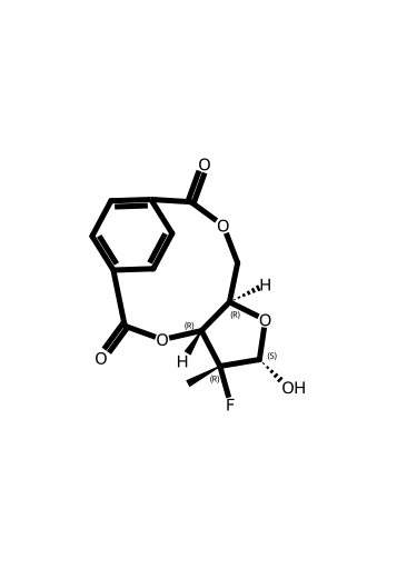 C[C@@]1(F)[C@@H]2OC(=O)c3ccc(cc3)C(=O)OC[C@H]2O[C@@H]1O